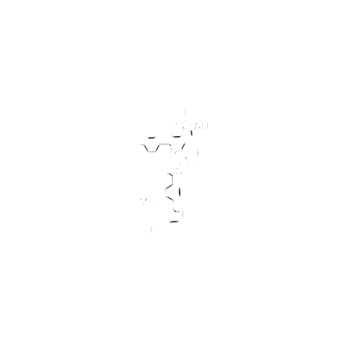 COc1cc(C(=O)NC[C@](O)(c2cc3c(c(-c4ccc(F)cc4)n2)OC[C@]3(C)C(N)=O)C(F)(F)F)ccc1-c1ncc(C)o1